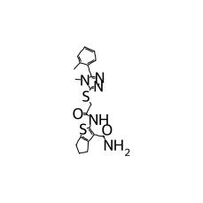 Cc1ccccc1-c1nnc(SCC(=O)Nc2sc3c(c2C(N)=O)CCC3)n1C